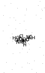 CCc1nc2cc(NS(=O)(=O)c3cc(Cl)c(O)c(C(N)=O)c3)ccc2[nH]1